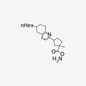 CCCCCCC1CCc2nc(C3CCC(C)(C(=O)ON)C3)ccc2C1